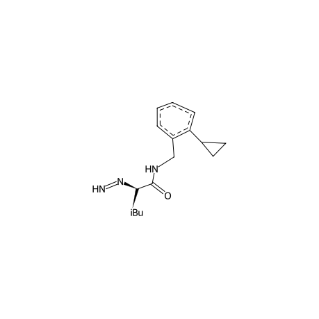 CC[C@H](C)[C@@H](N=N)C(=O)NCc1ccccc1C1CC1